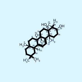 CC1(C)CC[C@]2(C)CC[C@]3(C)C(=CC=C4[C@@]5(C)CC[C@@H](O)[C@](C)(C(=O)O)[C@@H]5CC[C@]43C)[C@@H]2C1